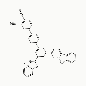 CC12C=CC=CC1SC(C1=CC(c3ccc4c(c3)oc3ccccc34)CC(c3ccc(-c4ccc(C#N)c(C#N)c4)cc3)=C1)=N2